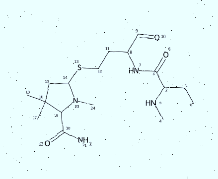 CCC(NC)C(=O)NC(C=O)CCSC1CC(C)(C)C(C(N)=O)N1C